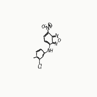 Cc1ccc(Nc2ccc([N+](=O)[O-])c3nonc23)cc1Cl